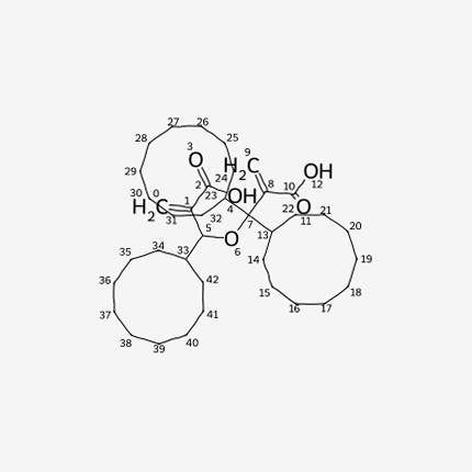 C=C(C(=O)O)C(OC(C(=C)C(=O)O)(C1CCCCCCCCC1)C1CCCCCCCCC1)C1CCCCCCCCC1